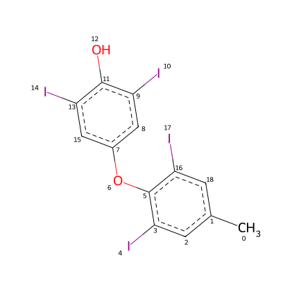 Cc1cc(I)c(Oc2cc(I)c(O)c(I)c2)c(I)c1